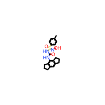 Cc1ccc(S(=O)(=NO)NC(=O)Nc2c3c(cc4c2CCC4)CCC3)cc1